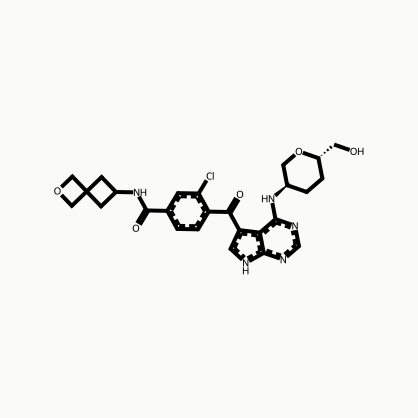 O=C(NC1CC2(COC2)C1)c1ccc(C(=O)c2c[nH]c3ncnc(N[C@@H]4CC[C@@H](CO)OC4)c23)c(Cl)c1